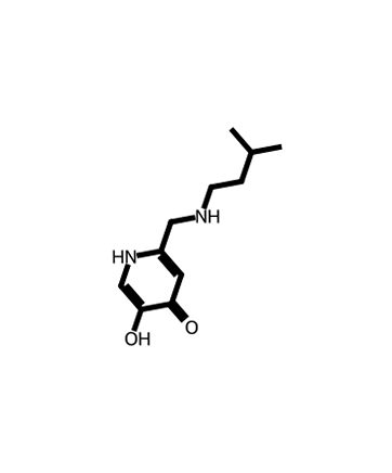 CC(C)CCNCc1cc(=O)c(O)c[nH]1